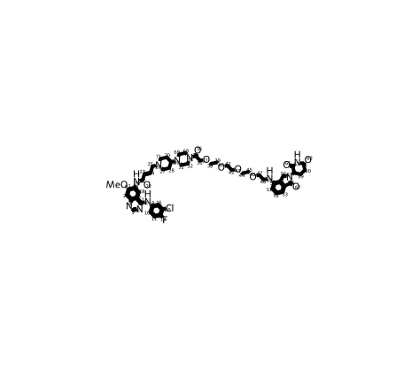 COc1cc2ncnc(Nc3ccc(F)c(Cl)c3)c2cc1NC(=O)/C=C/CN1CCC(N2CCN(C(=O)COCCOCCOCCOCCNc3cccc4c3CN(C3CCC(=O)NC3=O)C4=O)CC2)CC1